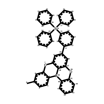 Cc1ccc2c(c1)Oc1cc(-c3cccc([Si](c4ccccc4)(c4ccccc4)c4ccccc4)c3)cc3c1B2c1ccccc1O3